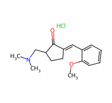 COc1ccccc1C=C1CCC(CN(C)C)C1=O.Cl